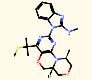 CNc1nc2ccccc2n1-c1nc2c(c(C(C)(C)SC)n1)OC[C@H]1COC[C@H](C)N21